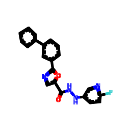 O=C(NNc1ccc(F)nc1)c1cnc(-c2cccc(-c3ccccc3)c2)o1